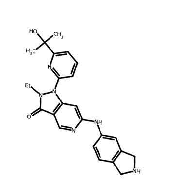 CCn1c(=O)c2cnc(Nc3ccc4c(c3)CNC4)cc2n1-c1cccc(C(C)(C)O)n1